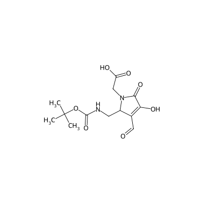 CC(C)(C)OC(=O)NCC1C(C=O)=C(O)C(=O)N1CC(=O)O